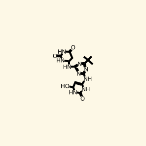 CC(C)(C)c1nc(NC2=CC(O)NC(=O)N2)nc(NC2CC(=O)NC(=O)N2)n1